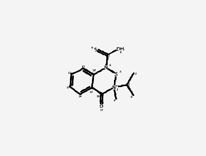 CC(C)[N+]1(C)SN(C(O)=S)c2ccccc2C1=O